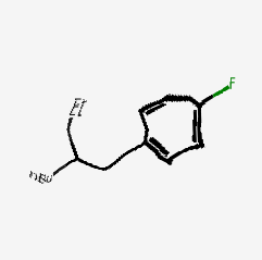 CCCCC(CC)Cc1ccc(F)cc1